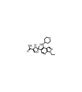 CCn1ncc2c(NC3CCOCC3)c(C3(C)NC(C(=O)O)=CO3)cnc21